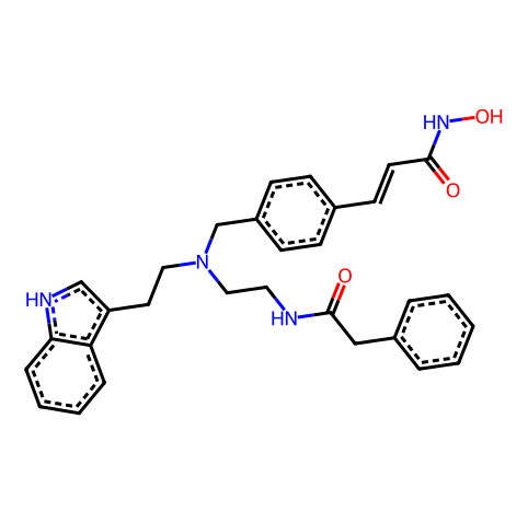 O=C(/C=C/c1ccc(CN(CCNC(=O)Cc2ccccc2)CCc2c[nH]c3ccccc23)cc1)NO